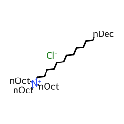 CCCCCCCCCCCCCCCCCCCCCC[N+](CCCCCCCC)(CCCCCCCC)CCCCCCCC.[Cl-]